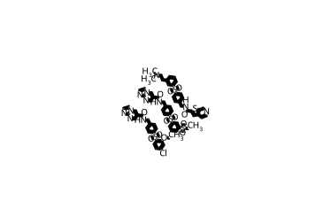 CCOc1cc(Cl)ccc1S(=O)(=O)c1ccc(CNC(=O)c2cnc3nccn3c2)cc1.CCS(=O)(=O)c1cccc(S(=O)(=O)c2ccc(CNC(=O)c3cnc4nccn4c3)cc2)c1.CN(C)CCc1cccc(S(=O)(=O)c2ccc(CNC(=O)c3cc4ccncc4s3)cc2)c1